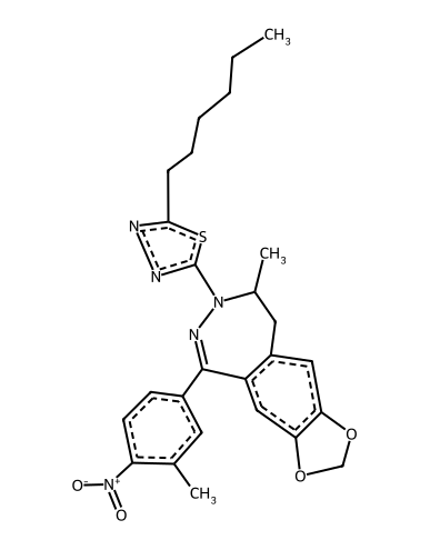 CCCCCCc1nnc(N2N=C(c3ccc([N+](=O)[O-])c(C)c3)c3cc4c(cc3CC2C)OCO4)s1